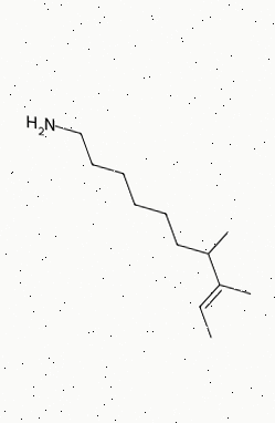 C/C=C(\C)C(C)CCCCCCN